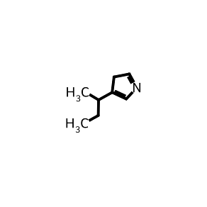 CCC(C)C1=CN=CC1